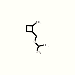 CC(C)OCC1CCC1C